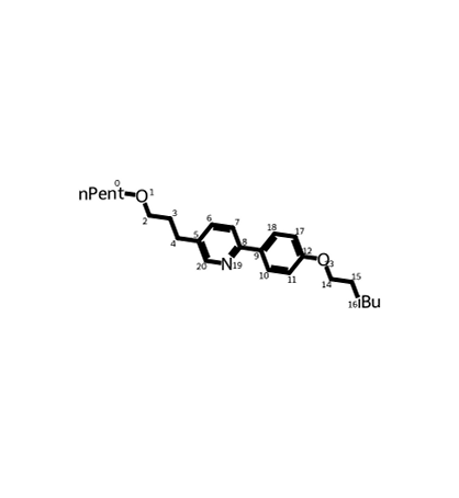 CCCCCOCCCc1ccc(-c2ccc(OCCC(C)CC)cc2)nc1